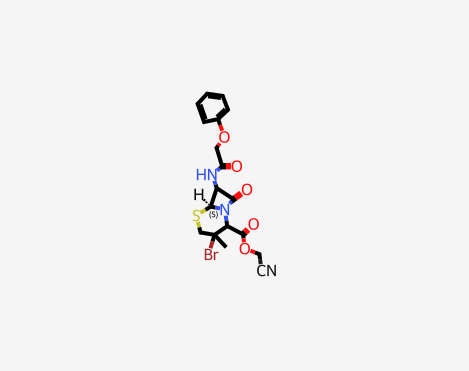 CC1(Br)CS[C@H]2C(NC(=O)COc3ccccc3)C(=O)N2C1C(=O)OCC#N